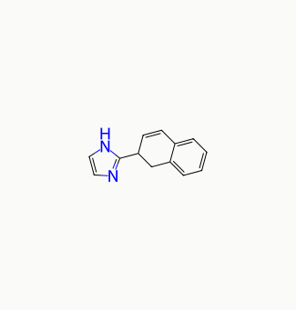 C1=CC(c2ncc[nH]2)Cc2ccccc21